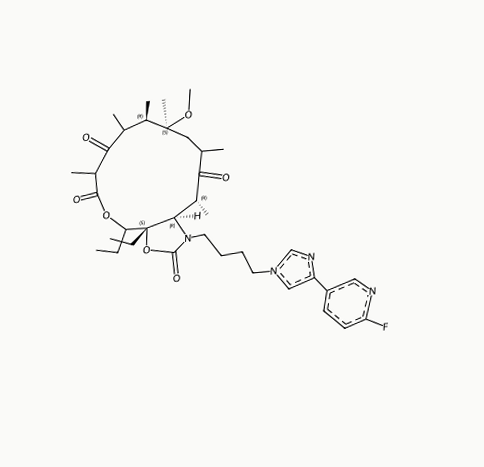 CCC1OC(=O)C(C)C(=O)C(C)[C@@H](C)[C@@](C)(OC)CC(C)C(=O)[C@H](C)[C@H]2N(CCCCn3cnc(-c4ccc(F)nc4)c3)C(=O)O[C@]12CC